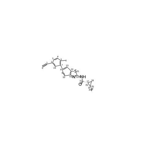 C#Cc1ccc(C)c(-c2ccc3nc(NC(=O)[C@@H]4C[C@@H]4F)sc3c2)c1